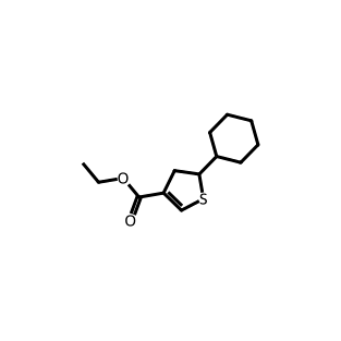 CCOC(=O)C1=CSC(C2CCCCC2)C1